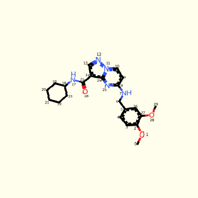 COc1ccc(CNc2ccn3ncc(C(=O)NC4CCCCC4)c3n2)cc1OC